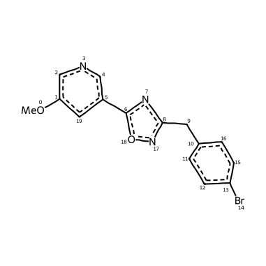 COc1cncc(-c2nc(Cc3ccc(Br)cc3)no2)c1